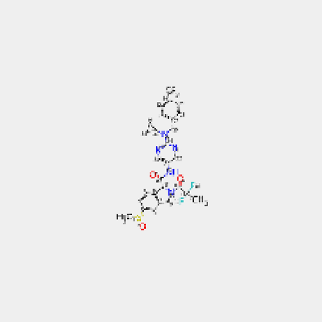 C[S+]([O-])c1ccc2c(c1)CN(C(=O)C(C)(F)F)C2C(=O)Nc1cnc(N(Cc2ccc(C(F)(F)F)cc2)C2CC2)nc1